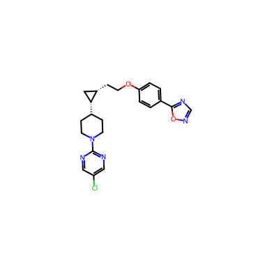 Clc1cnc(N2CCC([C@@H]3C[C@@H]3CCOc3ccc(-c4ncno4)cc3)CC2)nc1